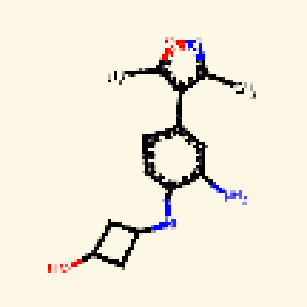 Cc1noc(C)c1-c1ccc(NC2CC(O)C2)c(N)c1